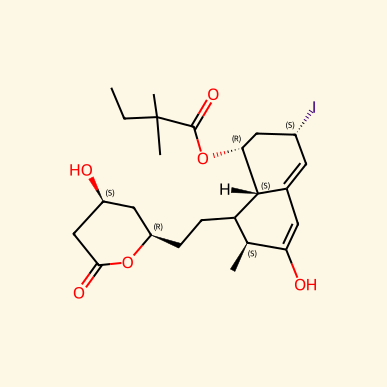 CCC(C)(C)C(=O)O[C@@H]1C[C@H](I)C=C2C=C(O)[C@@H](C)C(CC[C@@H]3C[C@H](O)CC(=O)O3)[C@@H]21